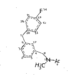 CC(=O)N(C)Cc1cccc(Cc2ccc(F)cc2)c1